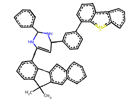 CC1(C)c2cc3ccccc3cc2-c2c(C3=CC(c4cccc(-c5cccc6c5sc5ccccc56)c4)NC(c4ccccc4)N3)cccc21